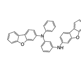 c1ccc(N(c2cccc(Nc3ccc4c(c3)oc3ccccc34)c2)c2ccc3c(c2)oc2ccccc23)cc1